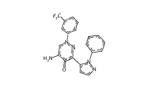 Nc1cn(-c2cccc(C(F)(F)F)c2)nc(-c2ccnn2-c2ccccc2)c1=O